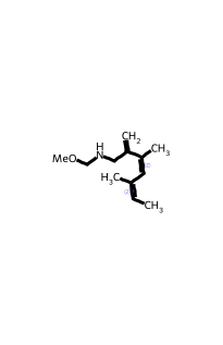 C=C(CNCOC)/C(C)=C\C(C)=C/C